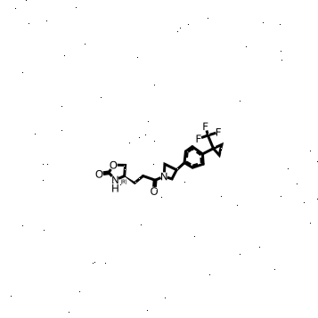 O=C1N[C@H](CCC(=O)N2CC(c3ccc(C4(C(F)(F)F)CC4)cc3)C2)CO1